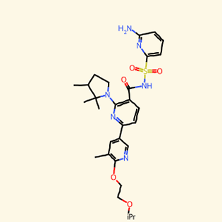 Cc1cc(-c2ccc(C(=O)NS(=O)(=O)c3cccc(N)n3)c(N3CCC(C)C3(C)C)n2)cnc1OCCOC(C)C